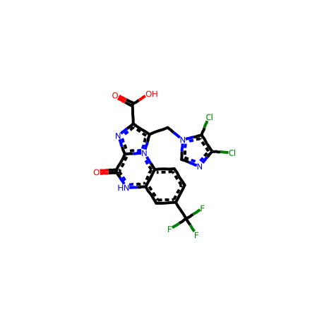 O=C(O)c1nc2c(=O)[nH]c3cc(C(F)(F)F)ccc3n2c1Cn1cnc(Cl)c1Cl